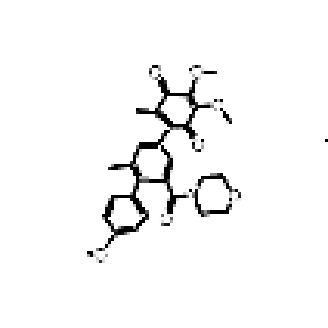 COC1=C(OC)C(=O)C(c2cc(C)c(-c3ccc(OC)cc3)c(C(=O)N3CCOCC3)c2)=C(C)C1=O